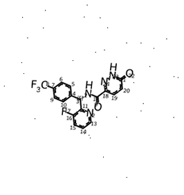 O=C(N[C@@H](c1ccc(C(F)(F)F)cc1)c1ncccc1F)c1ccc(=O)[nH]n1